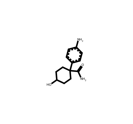 NC(=O)C1(c2ccc(N)cc2)CCC(O)CC1